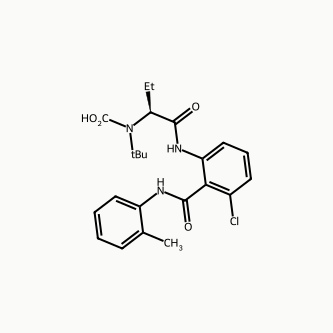 CC[C@@H](C(=O)Nc1cccc(Cl)c1C(=O)Nc1ccccc1C)N(C(=O)O)C(C)(C)C